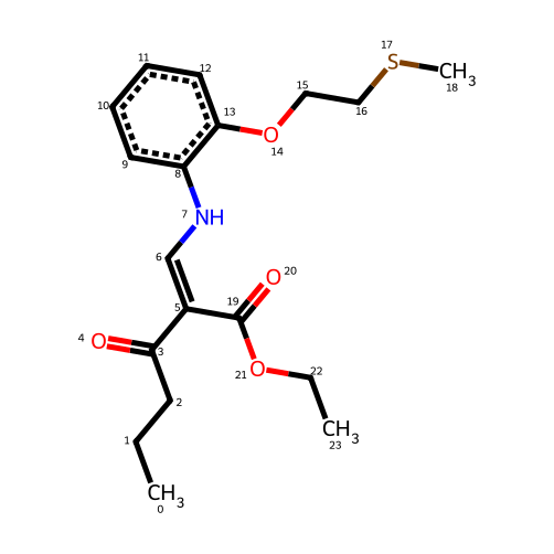 CCCC(=O)C(=CNc1ccccc1OCCSC)C(=O)OCC